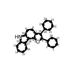 c1ccc(-c2oc3c(ccc4[nH]c5ccccc5c43)c2-c2ccccc2)cc1